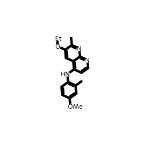 CCOc1cc2c(Nc3ccc(OC)cc3C)ccnc2nc1C